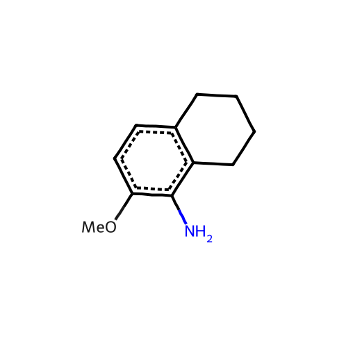 COc1ccc2c(c1N)CCCC2